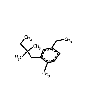 CCc1ccc(C)c(CC(C)(C)CC)c1